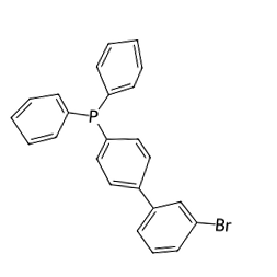 Brc1cccc(-c2ccc(P(c3ccccc3)c3ccccc3)cc2)c1